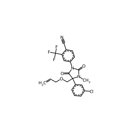 C=CCOCC1(c2cccc(Cl)c2)C(=O)N(c2ccc(C#N)c(C(F)(F)F)c2)C(=O)N1C